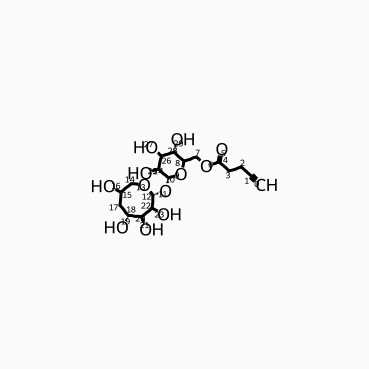 C#CCCC(=O)OCC1O[C@H](O[C@H]2OCC(O)C[C@@H](O)C(O)C2O)C(O)C(O)[C@@H]1O